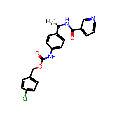 C[C@H](NC(=O)c1cccnc1)c1ccc(NC(=O)OCc2ccc(Cl)cc2)cc1